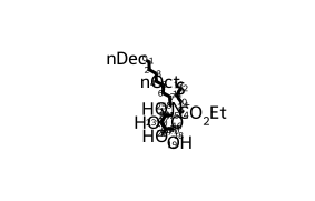 CCCCCCCCCCCCCCCCCC[N+](CCSCCCCCCCC)(C(=O)OCC)C1O[C@H](CO)[C@@H](O)[C@H](O)[C@H]1O